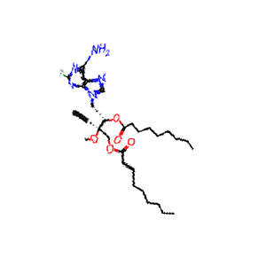 C#C[C@](COC(=O)CCCCCCCC)(OC)[C@H](Cn1cnc2c(N)nc(F)nc21)OC(=O)CCCCCCCC